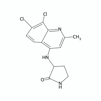 Cc1cc(NC2CCNC2=O)c2ccc(Cl)c(Cl)c2n1